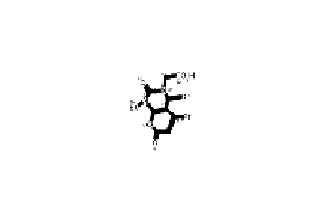 CCc1cc(=O)oc2c1c(=O)n(CC(=O)O)c(=O)n2CC